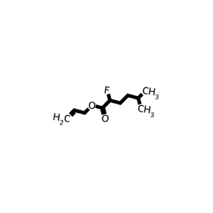 C=CCOC(=O)C(F)CCC(C)C